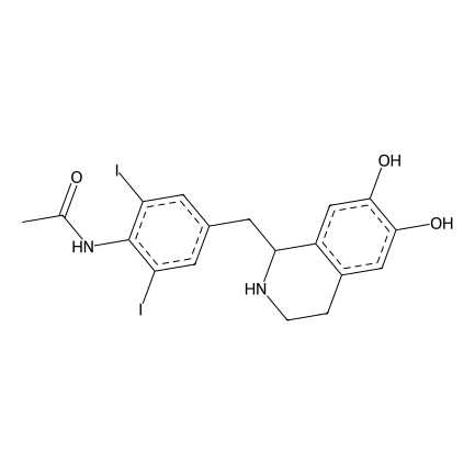 CC(=O)Nc1c(I)cc(CC2NCCc3cc(O)c(O)cc32)cc1I